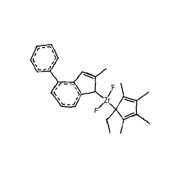 CC[C]1([Zr]([F])([F])[CH]2C(C)=Cc3c(-c4ccccc4)cccc32)C(C)=C(C)C(C)=C1C